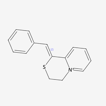 C(=C1/SCC[n+]2ccccc21)/c1ccccc1